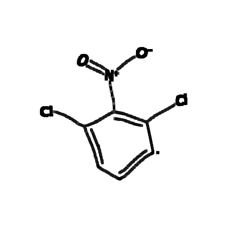 O=[N+]([O-])c1c(Cl)[c]ccc1Cl